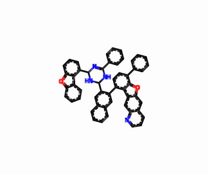 c1ccc(C2=NC(c3cccc4oc5ccccc5c34)NC(c3cc4ccccc4cc3-c3ccc(-c4ccccc4)c4oc5cc6cccnc6cc5c34)N2)cc1